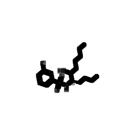 CCCCCC(O)[C@H](CCCC)NS(=O)(=O)c1cccc(Cl)c1